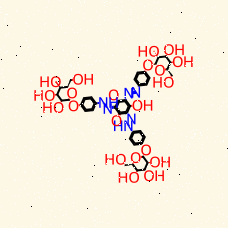 O=c1c(N=Nc2ccc(O[C@H]3O[C@H](CO)[C@H](O)[C@H](O)[C@H]3O)cc2)c(O)c(=NNc2ccc(O[C@H]3O[C@H](CO)[C@H](O)[C@H](O)[C@H]3O)cc2)c(=O)c1=NNc1ccc(O[C@H]2O[C@H](CO)[C@H](O)[C@H](O)[C@H]2O)cc1